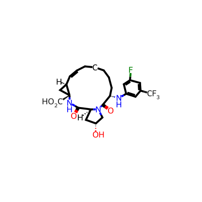 O=C1N[C@]2(C(=O)O)C[C@H]2/C=C\CCCCC[C@H](Nc2cc(F)cc(C(F)(F)F)c2)C(=O)N2C[C@H](O)C[C@@H]12